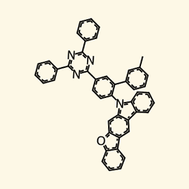 Cc1cccc(-c2cc(-c3nc(-c4ccccc4)nc(-c4ccccc4)n3)ccc2-n2c3ccccc3c3cc4c(cc32)oc2ccccc24)c1